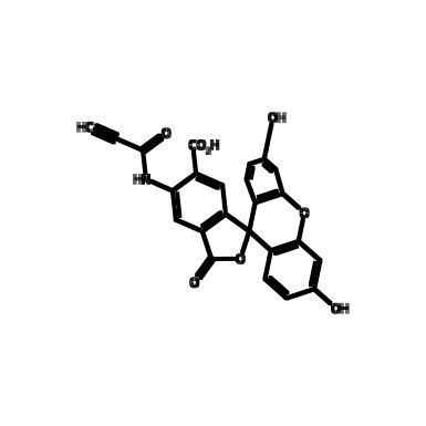 C#CC(=O)Nc1cc2c(cc1C(=O)O)C1(OC2=O)c2ccc(O)cc2Oc2cc(O)ccc21